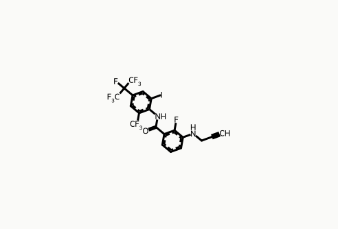 C#CCNc1cccc(C(=O)Nc2c(I)cc(C(F)(C(F)(F)F)C(F)(F)F)cc2C(F)(F)F)c1F